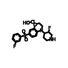 O=S(=O)(c1cccc(F)c1)c1ccc2c(c1)OCCN2C1CCNCC1F.OCl